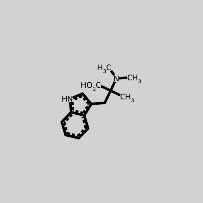 CN(C)C(C)(Cc1c[nH]c2ccccc12)C(=O)O